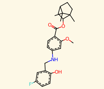 COc1cc(NCc2cc(F)ccc2O)ccc1C(=O)OC1CC2CCC1(C)C2(C)C